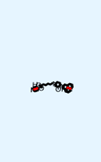 CO[C@H]1CN(CCCCCC(=O)O[C@H]2CN3CCC2CC3)CC[C@H]1N(Cc1ccccc1)Cc1ccccc1